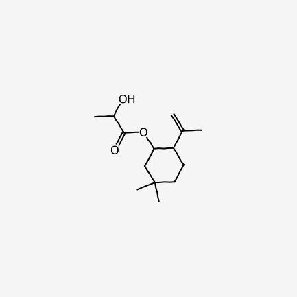 C=C(C)C1CCC(C)(C)CC1OC(=O)C(C)O